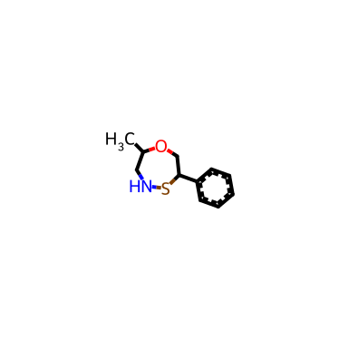 CC1CNSC(c2ccccc2)CO1